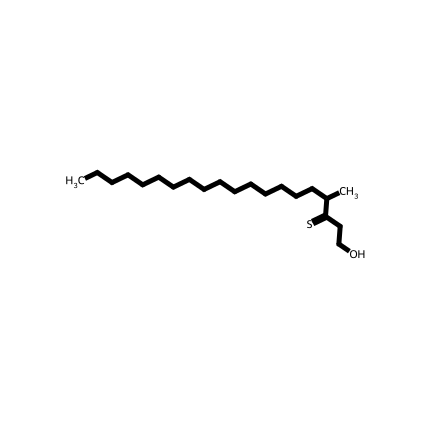 CCCCCCCCCCCCCCCCC(C)C(=S)CCO